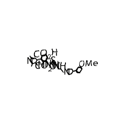 COc1cccc(C2CCN(CCCNOC(=S)Nc3cccc(C4C(C(=O)O)=C(C)N=C(C)C4C(=O)O)c3)CC2)c1